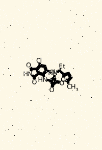 CC[C@@H](Nc1c(Nc2c(Cl)cc(Cl)c3c2C(=O)NC3=O)c(=O)c1=O)c1ccc(C)o1